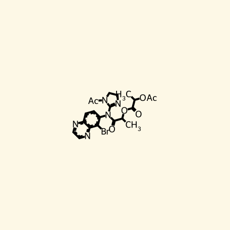 CC(=O)OC(C)C(=O)OC(C)C(=O)N(C1=NCCN1C(C)=O)c1ccc2nccnc2c1Br